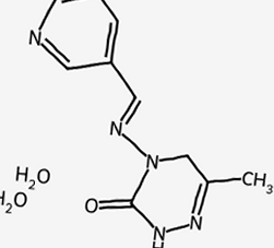 CC1=NNC(=O)N(N=Cc2cccnc2)C1.O.O